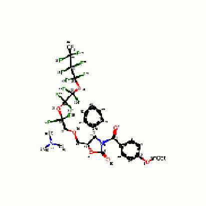 CCCCCCCCOc1ccc(C(=O)N2C(=O)OC(COCC(F)(F)OC(F)(F)C(F)(F)OC(F)(F)C(F)(F)C(F)(F)C(F)(F)F)[C@@H]2c2ccccc2)cc1.CCN(CC)CC